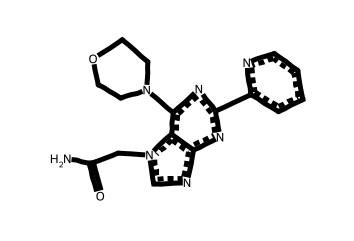 NC(=O)Cn1cnc2nc(-c3ccccn3)nc(N3CCOCC3)c21